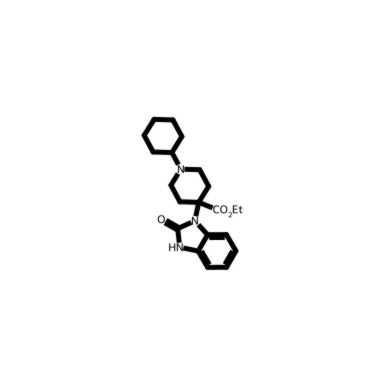 CCOC(=O)C1(n2c(=O)[nH]c3ccccc32)CCN(C2CCCCC2)CC1